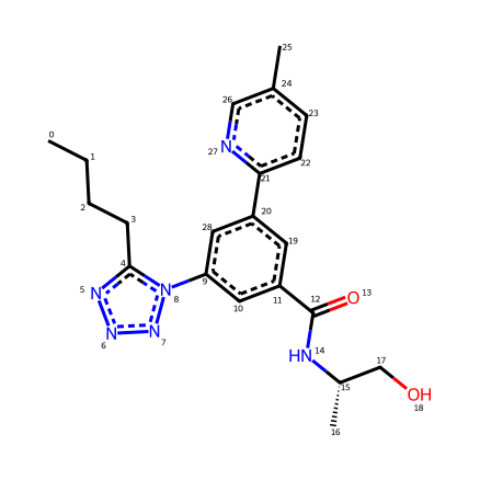 CCCCc1nnnn1-c1cc(C(=O)N[C@@H](C)CO)cc(-c2ccc(C)cn2)c1